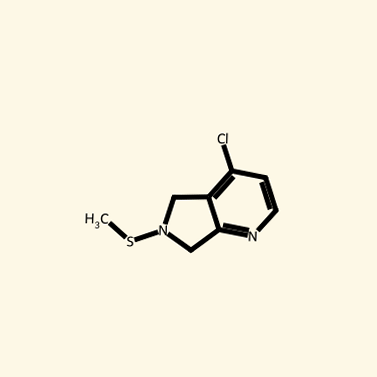 CSN1Cc2nccc(Cl)c2C1